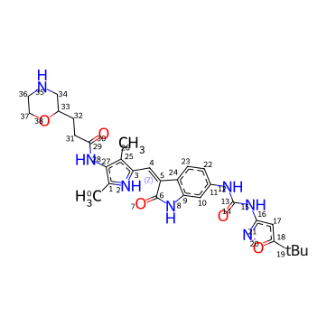 Cc1[nH]c(/C=C2\C(=O)Nc3cc(NC(=O)Nc4cc(C(C)(C)C)on4)ccc32)c(C)c1NC(=O)CCC1CNCCO1